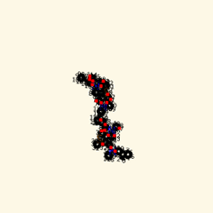 CC1(C)c2ccccc2-c2ccc(N(c3ccccc3)c3ccc4c(c3)-c3c(sc5ccccc35)C43c4ccccc4-c4c(N(c5ccccc5)c5ccc6c(c5)C(C)(C)c5c(-c7ccc(N(c8ccccc8)c8cccc9c8-c8ccccc8C98c9cccc(N(c%10ccc(-c%11ccccc%11)cc%10)c%10ccccc%10-c%10ccccc%10)c9-c9c8sc8ccccc98)cc7)cccc5-6)cccc43)cc21